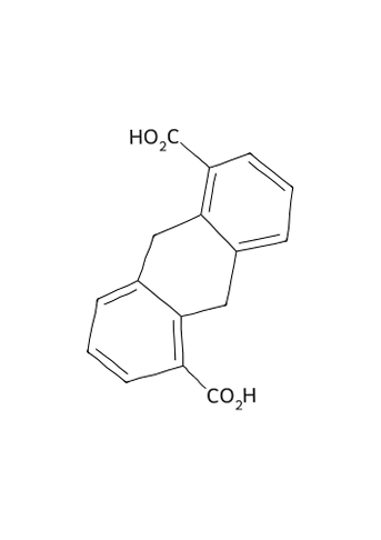 O=C(O)c1cccc2c1Cc1cccc(C(=O)O)c1C2